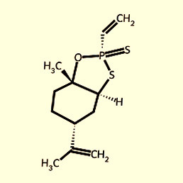 C=C[P@@]1(=S)O[C@@]2(C)CC[C@@H](C(=C)C)C[C@@H]2S1